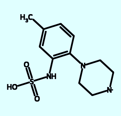 Cc1ccc(N2CC[N]CC2)c(NS(=O)(=O)O)c1